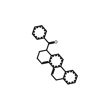 O=C(c1ccccc1)C1CCC=c2c1ccc1c2=CCc2ccccc2-1